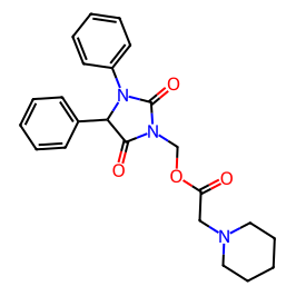 O=C(CN1CCCCC1)OCN1C(=O)C(c2ccccc2)N(c2ccccc2)C1=O